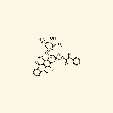 C[C@@H]1O[C@@H](O[C@H]2C[C@](O)(COC(=O)Nc3ccccc3)Cc3c(O)c4c(c(O)c32)C(=O)c2ccccc2C4=O)C[C@H](N)[C@@H]1O